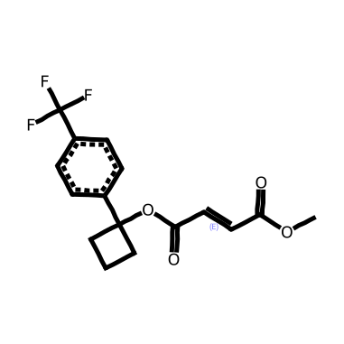 COC(=O)/C=C/C(=O)OC1(c2ccc(C(F)(F)F)cc2)CCC1